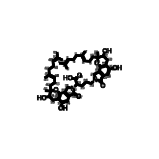 CC(C)=CCC/C(C)=C/CCC1(C)Oc2c(c(O)cc3c2CN(CCCC(C(=O)O)N2Cc4c(cc(O)c5c4OC(C)(CC/C=C(\C)CCC=C(C)C)C(O)C5)C2=O)C3=O)CC1O